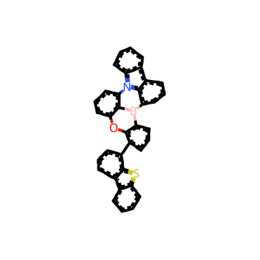 c1cc2c(c(-c3cccc4c3sc3ccccc34)c1)Oc1cccc3c1B2c1cccc2c4ccccc4n-3c12